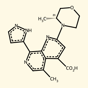 Cc1cnc(-c2ccn[nH]2)c2nc(N3CCOC[C@H]3C)cc(C(=O)O)c12